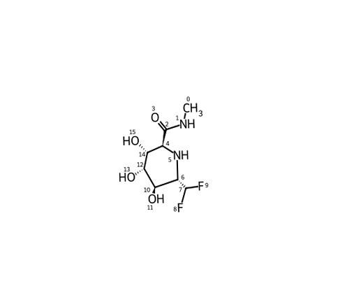 CNC(=O)[C@H]1N[C@H](C(F)F)[C@@H](O)[C@H](O)[C@@H]1O